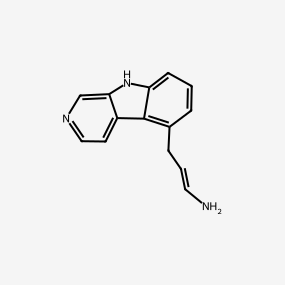 NC=CCc1cccc2[nH]c3cnccc3c12